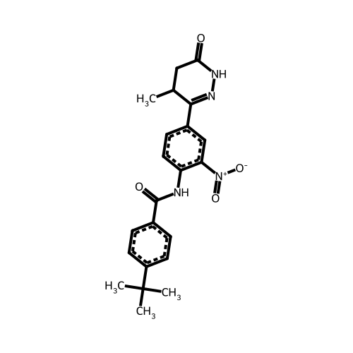 CC1CC(=O)NN=C1c1ccc(NC(=O)c2ccc(C(C)(C)C)cc2)c([N+](=O)[O-])c1